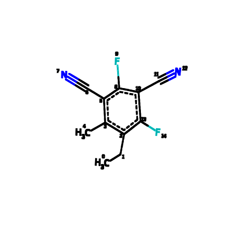 CCc1c(C)c(C#N)c(F)c(C#N)c1F